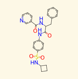 O=C(NC(Cc1ccccc1)C(=O)Nc1ccc(S(=O)(=O)NC2CCC2)cc1)c1cccnc1